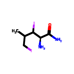 CC(CI)C(I)[C@H](N)C(N)=O